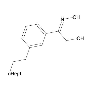 CCCCCCCCCc1cccc(C(CO)=NO)c1